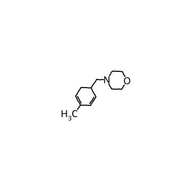 CC1=CCC(CN2CCOCC2)C=C1